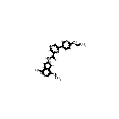 CCOc1ccc(-c2cncc(C(=O)N[C@@H]3Cc4c(OC)cnc(F)c4C3)n2)cn1